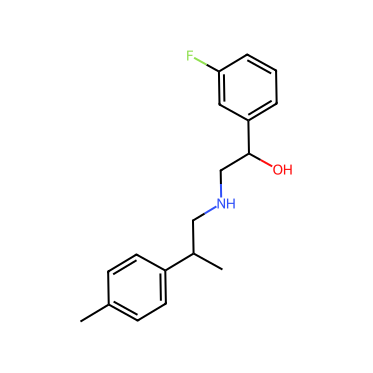 Cc1ccc(C(C)CNCC(O)c2cccc(F)c2)cc1